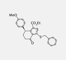 CCOC(=O)c1sc(SCc2ccccc2)c2c1[C@H](c1ccc(OC)cc1)CCC2=O